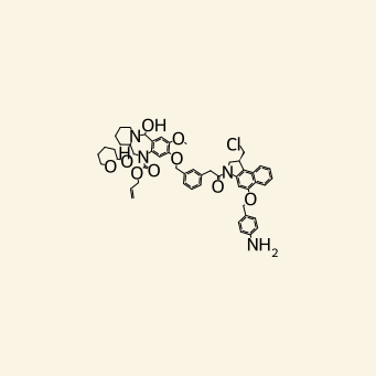 C=CCOC(=O)N1c2cc(OCc3cccc(CC(=O)N4C[C@@H](CCl)c5c4cc(OCc4ccc(N)cc4)c4ccccc54)c3)c(OC)cc2C(O)N2CCCC[C@H]2C1OC1CCCCO1